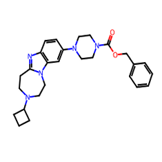 O=C(OCc1ccccc1)N1CCN(c2ccc3nc4n(c3c2)CCN(C2CCC2)CC4)CC1